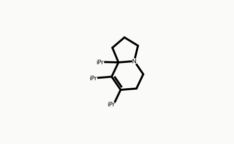 CC(C)C1=C(C(C)C)C2(C(C)C)CCCN2CC1